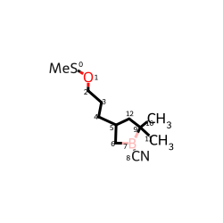 CSOCCCC1CB(C#N)C(C)(C)C1